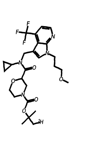 [2H]CC(C)(C)OC(=O)N1CCOC(C(=O)N(Cc2cn(CCCOC)c3nccc(C(F)(F)F)c23)C2CC2)C1